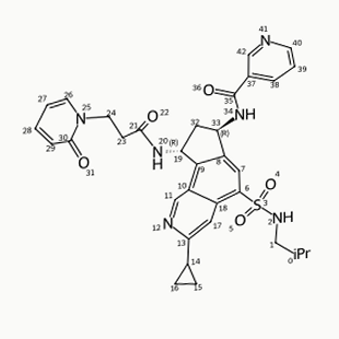 CC(C)CNS(=O)(=O)c1cc2c(c3cnc(C4CC4)cc13)[C@H](NC(=O)CCn1ccccc1=O)C[C@H]2NC(=O)c1cccnc1